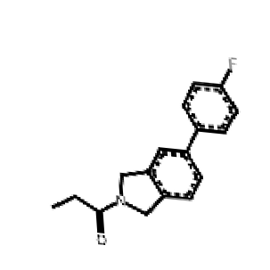 CCC(=O)N1Cc2ccc(-c3ccc(F)cc3)cc2C1